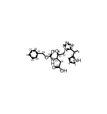 CC(c1ccc[nH]1)c1nnnn1CC(=O)C(CC(=O)O)NC(=O)OCc1ccccc1